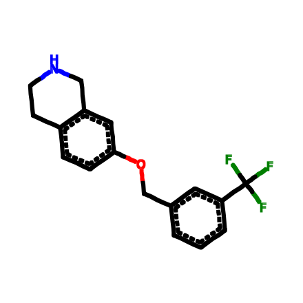 FC(F)(F)c1cccc(COc2ccc3c(c2)CNCC3)c1